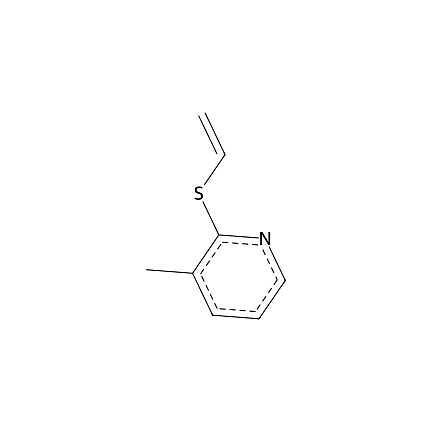 C=CSc1ncccc1C